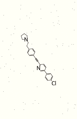 Clc1ccc(-c2ccc(C#Cc3ccc(CCN4CCCC4)cc3)nc2)cc1